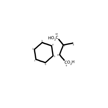 C1CCCCC1.CC(CC(=O)O)C(=O)O